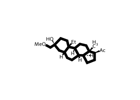 CC[C@]12CC[C@](O)(COC)C[C@H]1CC[C@H]1[C@@H]3CC[C@H](C(C)=O)[C@@]3(C)CC[C@@H]12